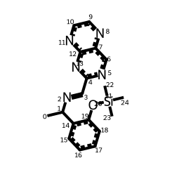 CC(N=Cc1ncc2nccnc2n1)c1ccccc1O[Si](C)(C)C